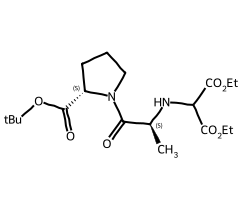 CCOC(=O)C(N[C@@H](C)C(=O)N1CCC[C@H]1C(=O)OC(C)(C)C)C(=O)OCC